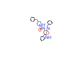 CN(Cc1ccccc1)C(=O)C(Cc1c[nH]c2ccccc12)NC(=O)N1CCC(Cc2ccccc2)CC1